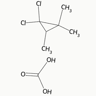 CC1C(C)(C)C1(Cl)Cl.O=C(O)O